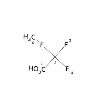 C.O=C(O)C(F)(F)F